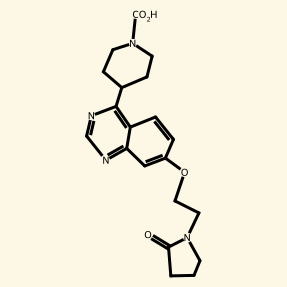 O=C(O)N1CCC(c2ncnc3cc(OCCN4CCCC4=O)ccc23)CC1